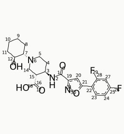 O=C(N[C@@H]1CCN([C@H]2CCCC[C@@H]2O)C[C@H]1C(=O)O)c1cc(-c2ccc(F)cc2F)on1